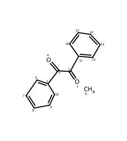 C.O=C(C(=O)c1ccccc1)c1ccccc1